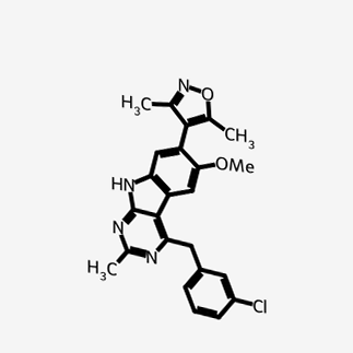 COc1cc2c(cc1-c1c(C)noc1C)[nH]c1nc(C)nc(Cc3cccc(Cl)c3)c12